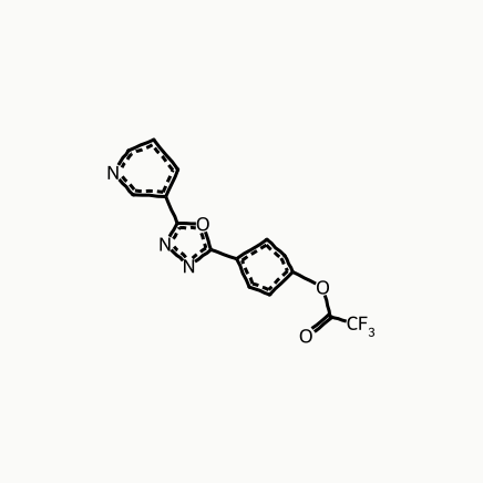 O=C(Oc1ccc(-c2nnc(-c3cccnc3)o2)cc1)C(F)(F)F